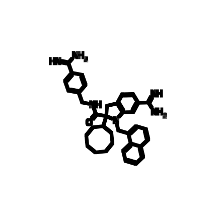 N=C(N)c1ccc(CNC(=O)C2(C3CCCCCCC3)Cc3ccc(C(=N)N)cc3N2Cc2cccc3ccccc23)cc1